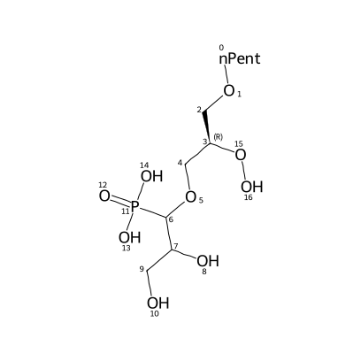 CCCCCOC[C@H](COC(C(O)CO)P(=O)(O)O)OO